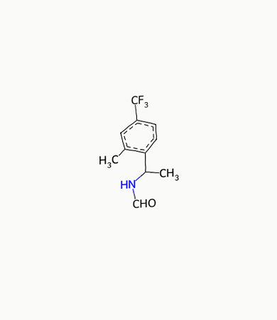 Cc1cc(C(F)(F)F)ccc1C(C)NC=O